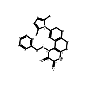 Cc1ccc(C)n1C1=CC2=C(CC1)CCc1[nH]c(=O)c(=O)n(OCc3ccccc3)c12